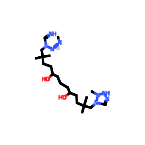 C/N=N\N(C=N)CC(C)(C)CCC(O)CCCC(O)CCC(C)(C)CN1C=NNN1C